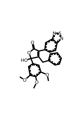 COc1cc(C2(O)OC(=O)C(c3ccc4nsnc4c3)=C2Cc2ccccc2)cc(OC)c1OC